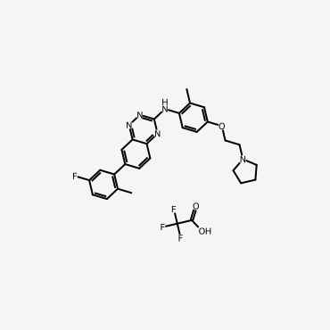 Cc1cc(OCCN2CCCC2)ccc1Nc1nnc2cc(-c3cc(F)ccc3C)ccc2n1.O=C(O)C(F)(F)F